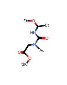 CCOC(CC)NC(=O)N(CC(=O)OC(C)(C)C)C(C)=O